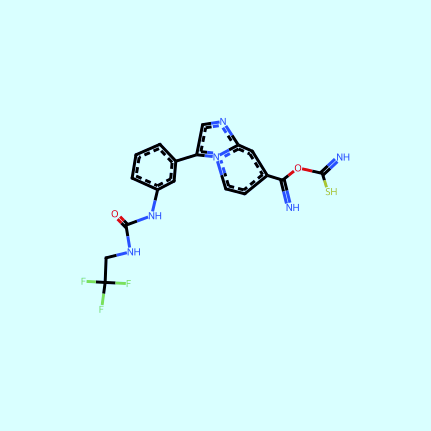 N=C(S)OC(=N)c1ccn2c(-c3cccc(NC(=O)NCC(F)(F)F)c3)cnc2c1